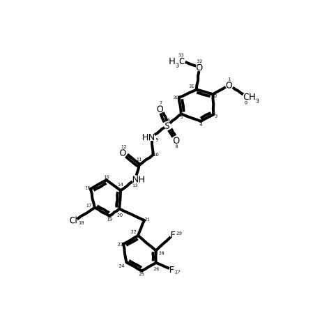 COc1ccc(S(=O)(=O)NCC(=O)Nc2ccc(Cl)cc2Cc2cccc(F)c2F)cc1OC